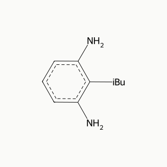 CCC(C)c1c(N)cccc1N